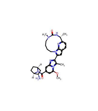 COc1cc(C(=O)N2[C@H]3CC[C@@H]2[C@H](N)C3)cc2nc(-c3cc4ccc5nc4n3CCCCN(C)C(=O)N[C@@H]5C)c(C)n12